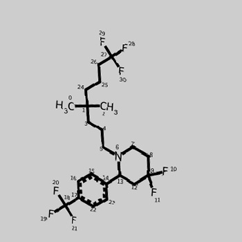 CC(C)(CCCN1CCC(F)(F)[CH]C1c1ccc(C(F)(F)F)cc1)CCCC(F)(F)F